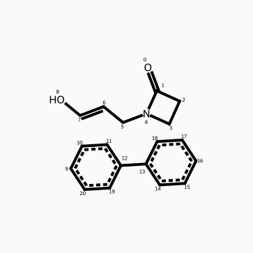 O=C1CCN1CC=CO.c1ccc(-c2ccccc2)cc1